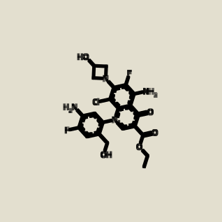 CCOC(=O)c1cn(-c2cc(N)c(F)cc2CO)c2c(Cl)c(N3CC(O)C3)c(F)c(N)c2c1=O